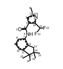 Cn1cc(C(=O)Nc2cccc3c2CC(C)(C)C3(C)C)c(C(F)F)n1